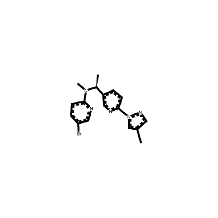 Cc1cnn(-c2ccc([C@H](C)N(C)c3ccc(Br)cn3)cn2)c1